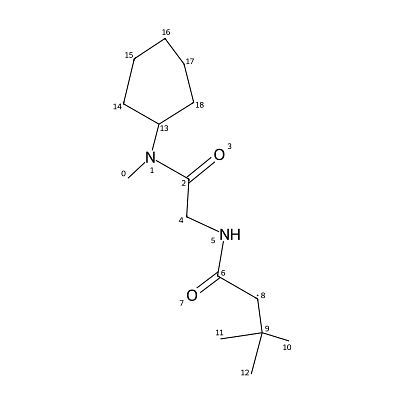 CN(C(=O)CNC(=O)[CH]C(C)(C)C)C1CCCCC1